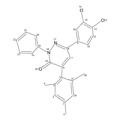 Cc1cc(C)c(-c2cc(-c3ccc(Cl)c(Cl)c3)nn(-c3ccccc3)c2=O)c(C)c1